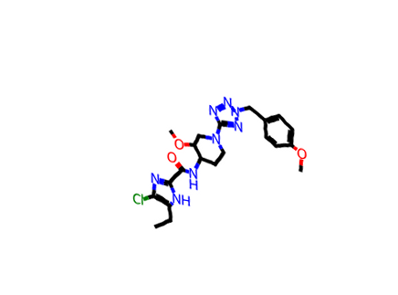 CCc1[nH]c(C(=O)NC2CCN(c3nnn(Cc4ccc(OC)cc4)n3)CC2OC)nc1Cl